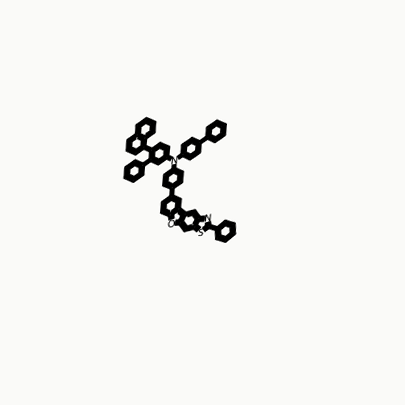 c1ccc(-c2ccc(N(c3ccc(-c4ccc5oc6cc7sc(-c8ccccc8)nc7cc6c5c4)cc3)c3ccc(-c4cccc5ccccc45)c(-c4ccccc4)c3)cc2)cc1